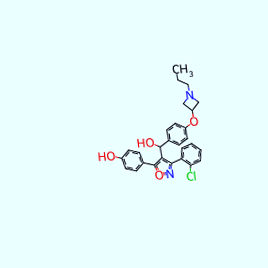 CCCN1CC(Oc2ccc(C(O)c3c(-c4ccccc4Cl)noc3-c3ccc(O)cc3)cc2)C1